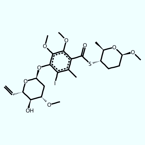 C=C[C@@H]1O[C@@H](Oc2c(I)c(C)c(C(=O)S[C@H]3CC[C@H](OC)O[C@@H]3C)c(OC)c2OC)C[C@H](OC)[C@H]1O